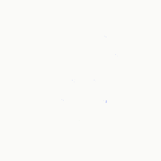 CCc1[nH]c2nc(Sc3cncnc3)nc(N3CCCC3)c2c1Cl